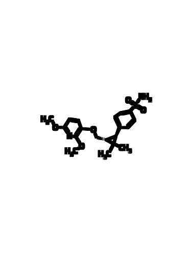 COc1ccc(OC[C@@H]2[C@@H](c3ccc(S(N)(=O)=O)cc3)C2(C)C)c(OC)n1